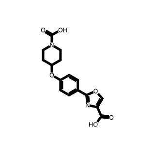 O=C(O)c1coc(-c2ccc(OC3CCN(C(=O)O)CC3)cc2)n1